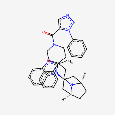 Cc1nc2ccccc2n1[C@H]1C[C@H]2CC[C@@H](C1)N2CCC1(c2ccccc2)CCN(C(=O)c2cnnn2-c2ccccc2)CC1